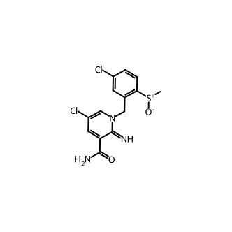 C[S+]([O-])c1ccc(Cl)cc1Cn1cc(Cl)cc(C(N)=O)c1=N